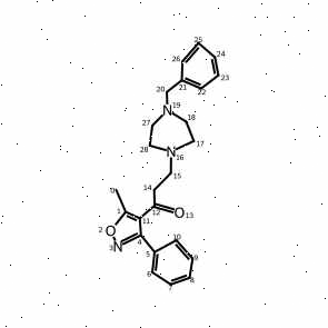 Cc1onc(-c2ccccc2)c1C(=O)CCN1CCN(Cc2ccccc2)CC1